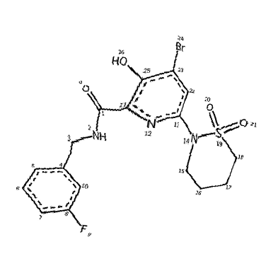 O=C(NCc1cccc(F)c1)c1nc(N2CCCCS2(=O)=O)cc(Br)c1O